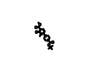 COC(=O)c1ccc(N2CCN(C(=O)OC(C)(C)C)CC2)n(C)c1=O